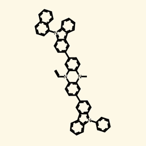 C=CN1c2ccc(-c3ccc4c(c3)c3ccccc3n4-c3ccccc3)cc2N(C)c2ccc(-c3ccc4c(c3)c3ccccc3n4-c3cccc4ccccc34)cc21